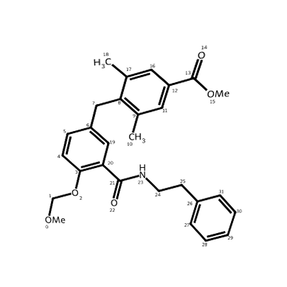 COCOc1ccc(Cc2c(C)cc(C(=O)OC)cc2C)cc1C(=O)NCCc1ccccc1